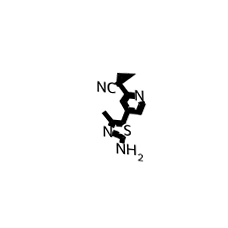 Cc1nc(N)sc1-c1ccnc(C2(C#N)CC2)c1